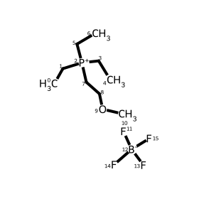 CC[P+](CC)(CC)CCOC.F[B-](F)(F)F